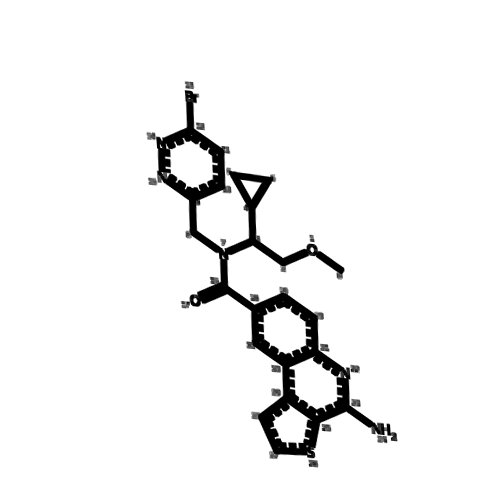 COCC(C1CC1)N(Cc1ccc(Br)nn1)C(=O)c1ccc2nc(N)c3sccc3c2c1